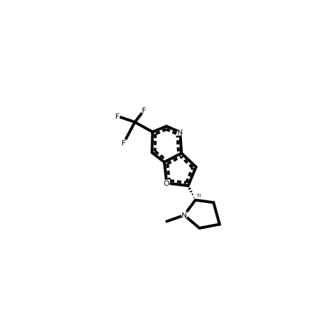 CN1CCC[C@H]1c1cc2ncc(C(F)(F)F)cc2o1